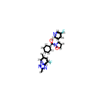 Cc1nc2c(F)cc(C[C@H]3CC[C@H](C(=O)N4OCC[C@H]4c4cncc(F)c4)CC3)cn2n1